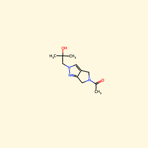 CC(=O)N1Cc2cn(CC(C)(C)O)nc2C1